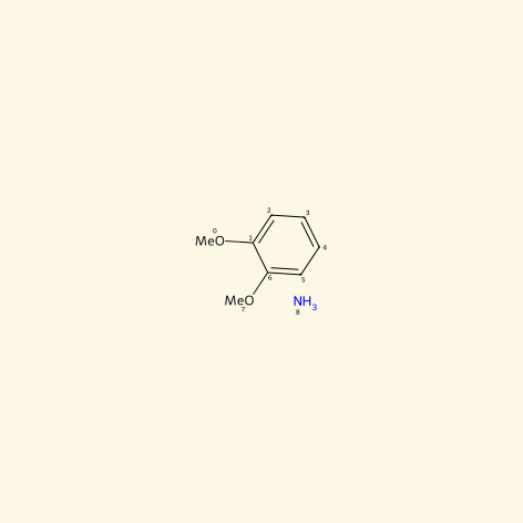 COc1ccccc1OC.N